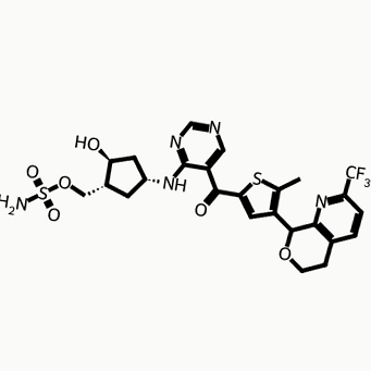 Cc1sc(C(=O)c2cncnc2N[C@@H]2C[C@H](COS(N)(=O)=O)[C@@H](O)C2)cc1C1OCCc2ccc(C(F)(F)F)nc21